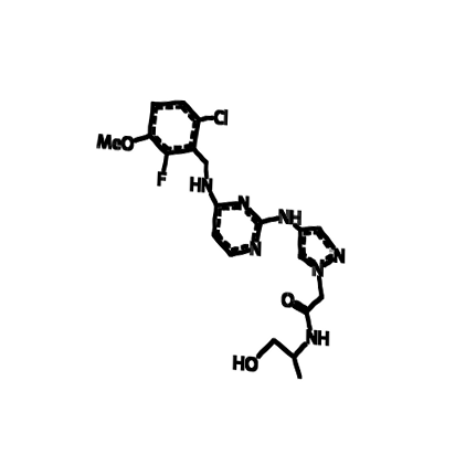 COc1ccc(Cl)c(CNc2ccnc(Nc3cnn(CC(=O)NC(C)CO)c3)n2)c1F